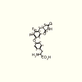 NC(Cc1ccc(Oc2ccc(CC3SC(=O)NC3=O)c(F)c2F)cc1)C(=O)O